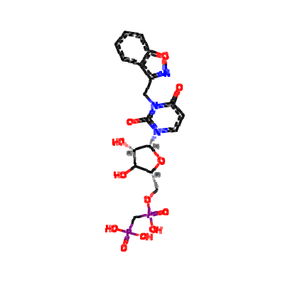 O=c1ccn([C@@H]2O[C@H](COP(=O)(O)CP(=O)(O)O)C(O)[C@@H]2O)c(=O)n1Cc1noc2ccccc12